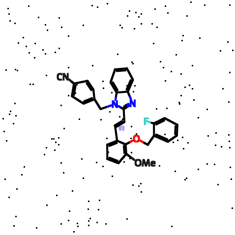 [C-]#[N+]c1ccc(Cn2c(/C=C/c3cccc(OC)c3OCc3ccccc3F)nc3ccccc32)cc1